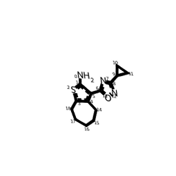 Nc1sc2c(c1-c1nc(C3CC3)no1)CCCCC2